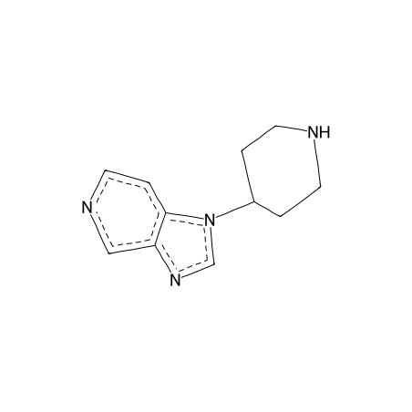 c1cc2c(cn1)ncn2C1CCNCC1